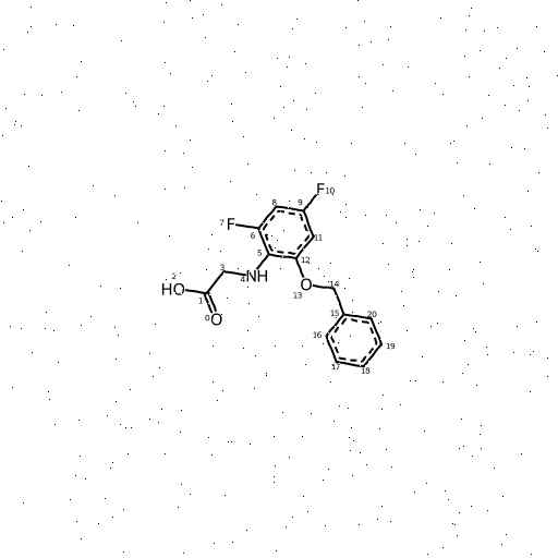 O=C(O)CNc1c(F)cc(F)cc1OCc1ccccc1